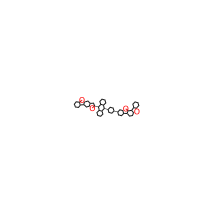 c1ccc2c(c1)oc1cc3cc(-c4c5ccccc5c(-c5ccc(-c6ccc7c(c6)oc6c7ccc7oc8ccccc8c76)cc5)c5ccccc45)oc3cc12